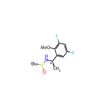 COc1c(F)cc(F)cc1[C@@H](C)N[S+]([O-])C(C)(C)C